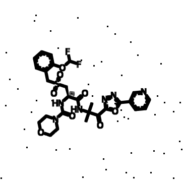 CC(C)(NC(=O)[C@H](CS(=O)(=O)Cc1ccccc1OC(F)F)NC(=O)N1CCOCC1)C(=O)c1nnc(-c2cccnc2)o1